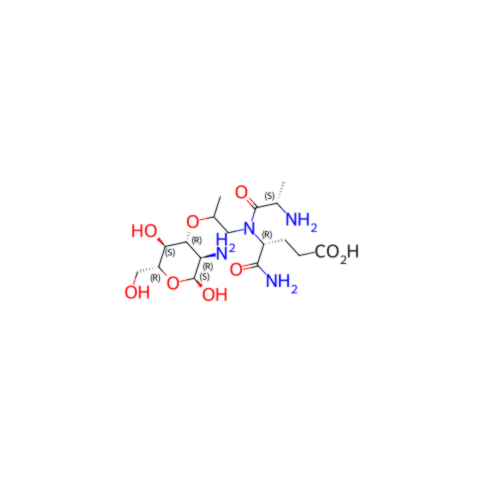 CC(CN(C(=O)[C@H](C)N)[C@H](CCC(=O)O)C(N)=O)O[C@@H]1[C@@H](N)[C@@H](O)O[C@H](CO)[C@H]1O